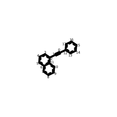 C(#Cc1cc[c]c2ccccc12)c1ccccc1